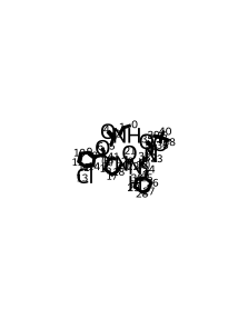 CCNC(=O)COC(c1cccc(Cl)c1)[C@@H]1CCCN(C(=O)N[C@@H](CC2CCCCC2)CN(C)C(=O)OC(C)(C)C)C1